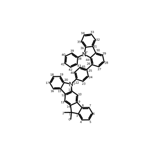 CC1(C)c2ccccc2-c2cc3c(cc21)c1ccccc1n3-c1ccc(-c2cccc3c4ccccc4n(-c4ccccc4)c23)cc1